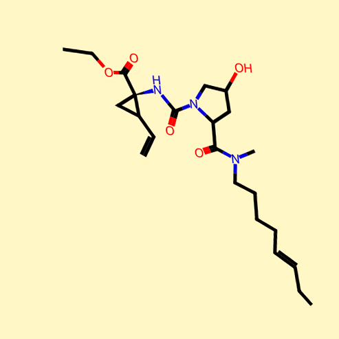 C=CC1C[C@]1(NC(=O)N1CC(O)CC1C(=O)N(C)CCCCC=CCC)C(=O)OCC